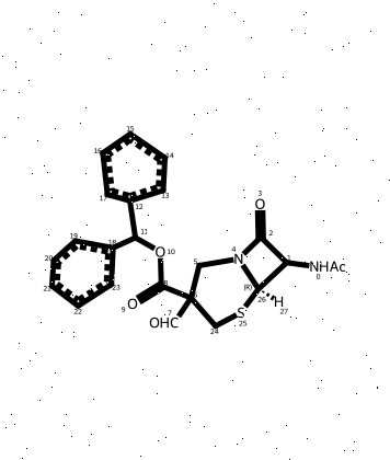 CC(=O)NC1C(=O)N2CC(C=O)(C(=O)OC(c3ccccc3)c3ccccc3)CS[C@H]12